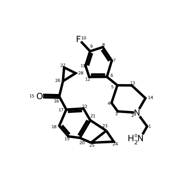 NCN1CCC(c2ccc(F)cc2)CC1.O=C(c1ccc2c(c1)C1CC21)C1CC1